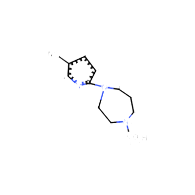 N#Cc1ccc(N2CCCN(C(=O)O)CC2)nc1